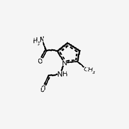 Cc1ccc(C(N)=O)n1NC=O